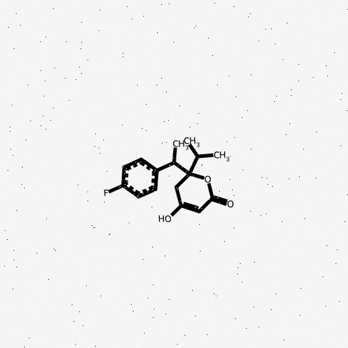 CC(C)C1(C(C)c2ccc(F)cc2)CC(O)=CC(=O)O1